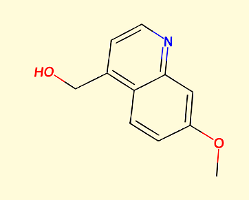 COc1ccc2c(CO)ccnc2c1